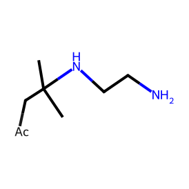 CC(=O)CC(C)(C)NCCN